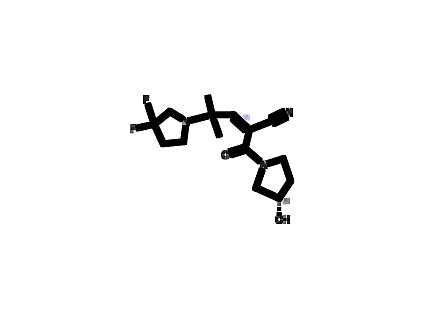 CC(C)(/C=C(/C#N)C(=O)N1CC[C@H](O)C1)N1CCC(F)(F)C1